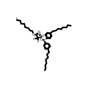 CCCCCCCCc1ccc([I+](OS(=O)(=O)C(F)(F)C(=O)OCCCCCCCCI)c2ccc(CCCCCCCC)cc2)cc1